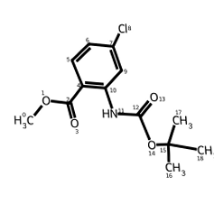 COC(=O)c1ccc(Cl)cc1NC(=O)OC(C)(C)C